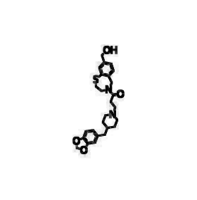 O=C(CCN1CCC(Cc2ccc3c(c2)OCO3)CC1)N1CCSc2cc(CO)ccc2C1